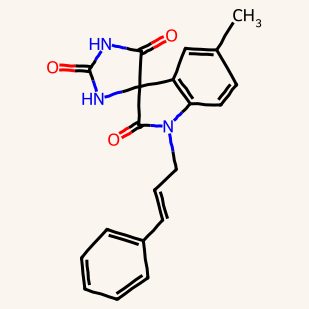 Cc1ccc2c(c1)C1(NC(=O)NC1=O)C(=O)N2C/C=C/c1ccccc1